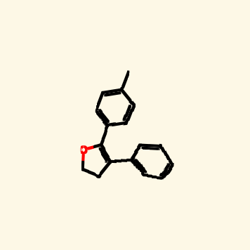 Cc1ccc(C2=C(c3ccccc3)CCO2)cc1